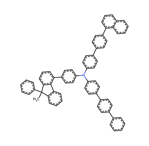 CC1(c2ccccc2)c2ccccc2-c2c(-c3ccc(N(c4ccc(-c5ccc(-c6ccccc6)cc5)cc4)c4ccc(-c5ccc(-c6cccc7ccccc67)cc5)cc4)cc3)cccc21